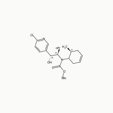 CCC[C@H]([C@H](O)c1ccc(Cl)nc1)N(C(=O)OC(C)(C)C)C1CC=CC[C@@H]1C